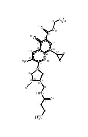 CCCC(=O)NC[C@@H]1CN(c2nc3c(cc2F)c(=O)c(C(=O)OCC)cn3C2CC2)C[C@H]1F